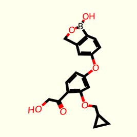 O=C(CO)c1ccc(Oc2ccc3c(c2)COB3O)cc1OCC1CC1